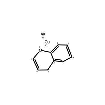 C1=COc2ccccc2C1.[Cu].[W]